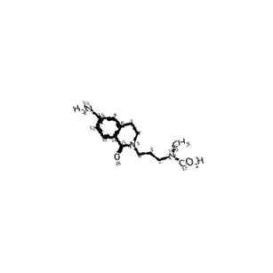 CN(CCCN1CCc2cc(N)ccc2C1=O)C(=O)O